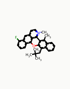 Cc1c2c(c(CC(C)(C)C)c3ccccc13)Oc1c3cccc(F)c3cc3cc[n+](C)c-2c13